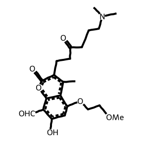 COCCOc1cc(O)c(C=O)c2oc(=O)c(CCC(=O)CCCN(C)C)c(C)c12